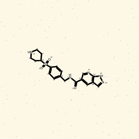 O=C(NCc1ccc(S(=O)(=O)C2CCNCC2)cc1)c1cnc2[nH]ncc2c1